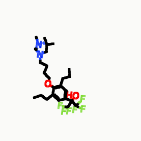 CCCc1cc(C(O)(C(F)(F)F)C(F)(F)F)cc(CCC)c1OCCCCN1C=[N+](C)C(C)(C)C1